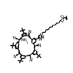 C=C(C)C(=O)OCCCCCCCCCCCn1cc(-c2cc3cc(c2)/C(C#N)=C/c2cc(cc(C(C)(C)C)c2)/C(C#N)=C/c2cc(cc(C(C)(C)C)c2)/C(C#N)=C/c2cc(cc(C(C)(C)C)c2)/C(C#N)=C(\N)c2cc(C(C)(C)C)cc(c2N)/C(C#N)=C/3)nn1